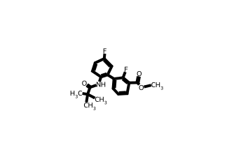 COC(=O)c1cccc(-c2cc(F)ccc2NC(=O)C(C)(C)C)c1F